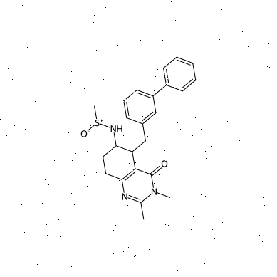 Cc1nc2c(c(=O)n1C)C(Cc1cccc(-c3ccccc3)c1)C(N[S+](C)[O-])CC2